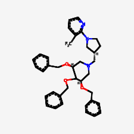 FC(F)(F)c1cccnc1N1CC[C@H](CN2C[C@H](OCc3ccccc3)C(OCc3ccccc3)[C@H](OCc3ccccc3)C2)C1